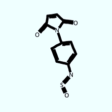 O=S=Nc1ccc(N2C(=O)C=CC2=O)cc1